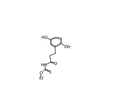 CCOC(=S)NC(=O)CCc1cc(O)ccc1O